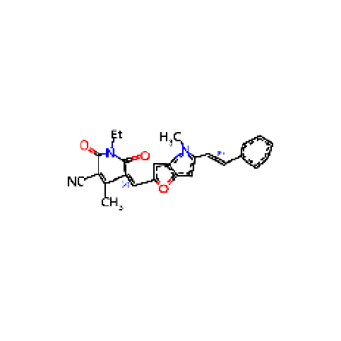 CCN1C(=O)C(C#N)=C(C)/C(=C/c2cc3c(cc(/C=C/c4ccccc4)n3C)o2)C1=O